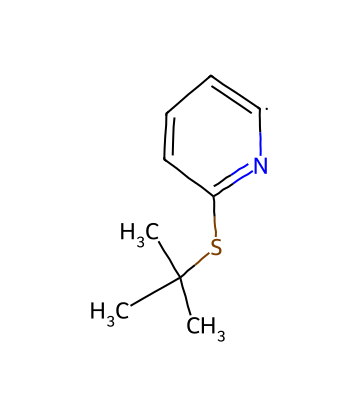 CC(C)(C)Sc1ccc[c]n1